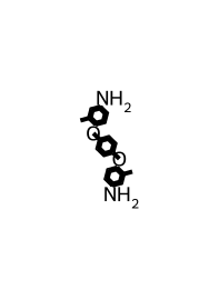 Cc1cc(N)ccc1Oc1ccc(Oc2ccc(N)cc2C)cc1